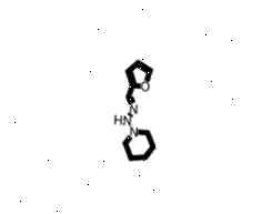 C(=NNN1CCCCC1)c1ccco1